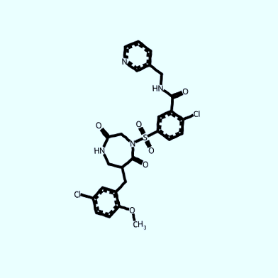 COc1ccc(Cl)cc1CC1CNC(=O)CN(S(=O)(=O)c2ccc(Cl)c(C(=O)NCc3cccnc3)c2)C1=O